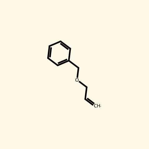 [CH]=CCOCc1ccccc1